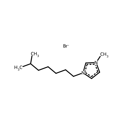 CC(C)CCCCC[n+]1ccn(C)c1.[Br-]